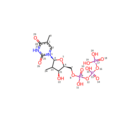 Cc1cn([C@H]2O[C@@H](COP(=O)(O)OP(=O)(O)OP(=O)(O)O)[C@@H](O)C2C)c(=O)[nH]c1=O